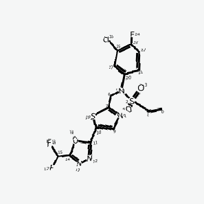 CCS(=O)(=O)N(Cc1ncc(-c2nnc(C(F)F)o2)s1)c1ccc(F)c(Cl)c1